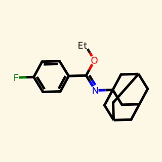 CCOC(=NC12CC3CC(CC(C3)C1)C2)c1ccc(F)cc1